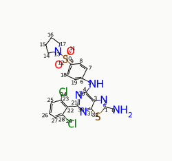 Nc1nc2c(Nc3ccc(S(=O)(=O)N4CCCC4)cc3)nc(-c3c(Cl)cccc3Cl)nc2s1